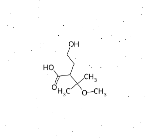 COC(C)(C)C(CCO)C(=O)O